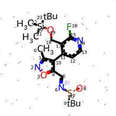 Cc1noc(/C=N/[S@@+]([O-])C(C)(C)C)c1-c1ccnc(F)c1CO[Si](C)(C)C(C)(C)C